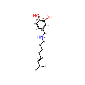 CC(C)/C=C/CCCCNCc1ccc(O)c(O)c1